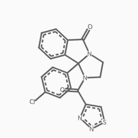 O=C(c1csnn1)N1CCN2C(=O)c3ccccc3C12c1ccc(Cl)cc1